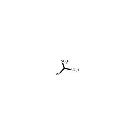 CC(=O)C(S(=O)(=O)O)S(=O)(=O)O